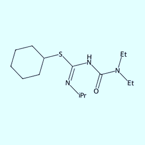 CCN(CC)C(=O)NC(=NC(C)C)SC1CCCCC1